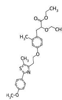 CCOC(=O)C(Cc1ccc(OCCc2nc(-c3ccc(OC)cc3)sc2C)cc1C)OCC